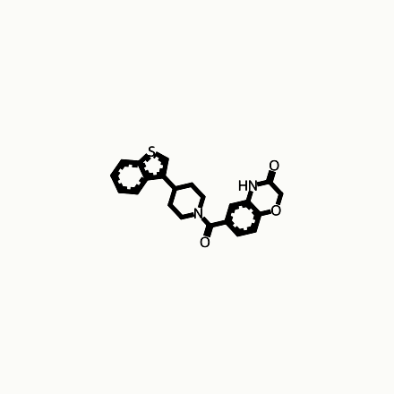 O=C1COc2ccc(C(=O)N3CCC(c4csc5ccccc45)CC3)cc2N1